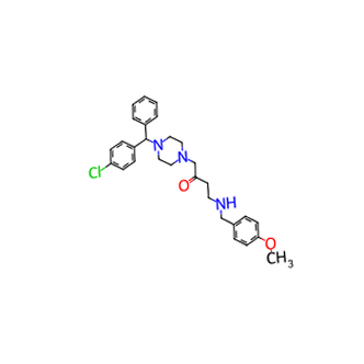 COc1ccc(CNCCC(=O)CN2CCN(C(c3ccccc3)c3ccc(Cl)cc3)CC2)cc1